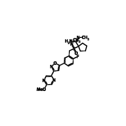 CN=S(=O)(Cc1cc(-c2cc(-c3cnc(OC)cn3)no2)ccc1F)C1(/C(N)=N\C)CCCC1